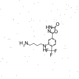 NCCCCNc1cc(-c2n[nH]c(=O)o2)ccc1C(F)(F)F